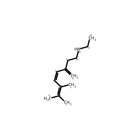 C=C(/C=C\C(C)=C(C)C)CCNCC